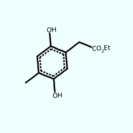 CCOC(=O)Cc1cc(O)c(C)cc1O